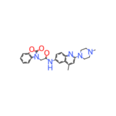 Cc1cc(N2CCN(C)CC2)nc2ccc(NC(=O)Cn3c(=O)oc4ccccc43)cc12